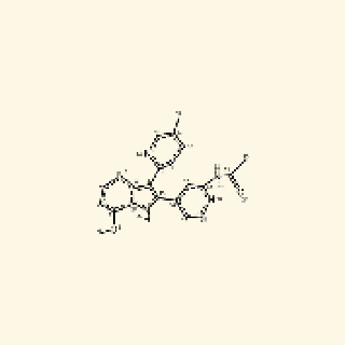 COc1ccnc2c(-c3ccc(C)cn3)c(-c3ccnc(NC(C)=O)c3)[nH]c12